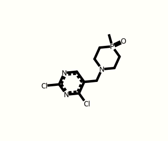 CP1(=O)CCN(Cc2cnc(Cl)nc2Cl)CC1